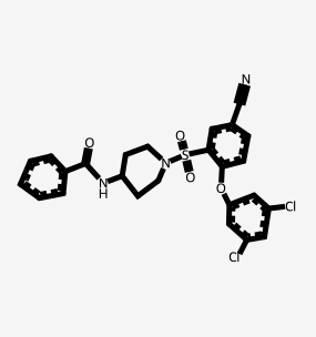 N#Cc1ccc(Oc2cc(Cl)cc(Cl)c2)c(S(=O)(=O)N2CCC(NC(=O)c3ccccc3)CC2)c1